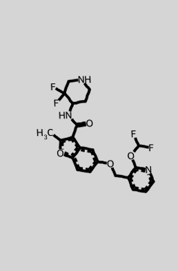 Cc1oc2ccc(OCc3cccnc3OC(F)F)cc2c1C(=O)NC1CCNCC1(F)F